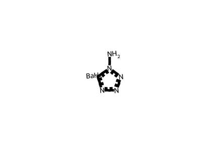 Nn1cnnn1.[BaH2]